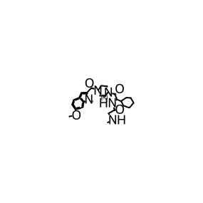 CNCC(=O)NC(C(=O)N1CCN(C(=O)c2cc3ccc(OC)cc3n2C)C[C@H]1C)C1CCCCC1